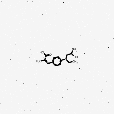 CCN(CC(N)O)c1ccc(C=C(C)C(=O)O)cc1